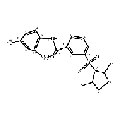 CC1CCC(C)N1S(=O)(=O)c1cccc(C(=O)Nc2ccc(C#N)cc2C(=O)O)c1